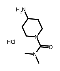 CN(C)C(=O)N1CCC(N)CC1.Cl